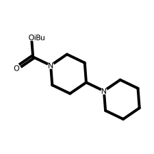 CC(C)COC(=O)N1CCC(N2CCCCC2)CC1